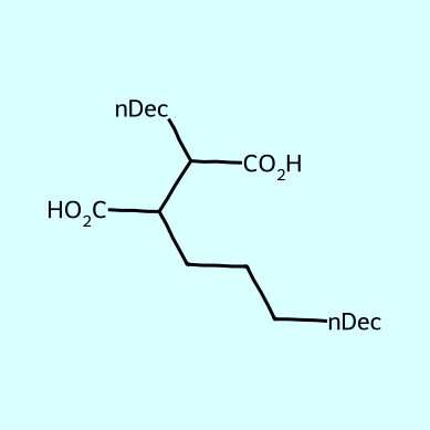 CCCCCCCCCCCCCC(C(=O)O)C(CCCCCCCCCC)C(=O)O